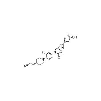 N#CCC=C1CCN(c2ccc(N3CC(CNNCC(=O)O)OC3=O)cc2F)CC1